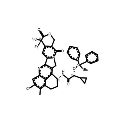 CC[C@@]1(O)C(=O)OCc2c1cc1n(c2=O)Cc2c-1nc1cc(Cl)c(C)c3c1c2[C@H](NC(=O)[C@H](O[Si](c1ccccc1)(c1ccccc1)C(C)(C)C)C1CC1)CC3